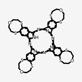 c1c2c(cc3c1-c1nc-3nc3[nH]c(nc4nc(nc5[nH]c(n1)c1cc6c(cc51)SCCOCCS6)-c1cc5c(cc1-4)SCCOCCS5)c1cc4c(cc31)SCCOCCS4)SCCOCCS2